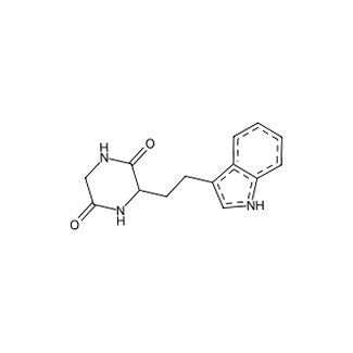 O=C1CNC(=O)C(CCc2c[nH]c3ccccc23)N1